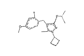 COc1ccc(Cc2c(OC(C)C)nn(C3CCC3)c2C)c(F)c1